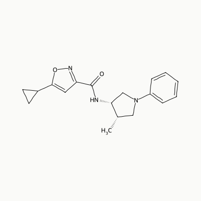 C[C@H]1CN(c2ccccc2)C[C@H]1NC(=O)c1cc(C2CC2)on1